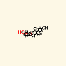 C[C@H]1C[C@@]2(C)C(CC[C@@]2(O)Cc2ccc(O)cc2)C2CCc3cc(C#N)ccc3C21